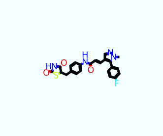 Cn1ncc(/C=C/C(=O)Nc2ccc(CC3SC(=O)NC3=O)cc2)c1-c1ccc(F)cc1